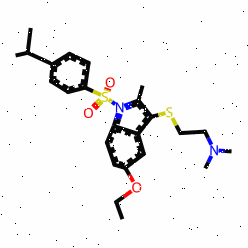 CCOc1ccc2c(c1)c(SCCN(C)C)c(C)n2S(=O)(=O)c1ccc(C(C)C)cc1